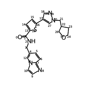 O=C(NCc1ccc2nccn2c1)c1ccc(-c2cnn(CC3CCOC3)c2)s1